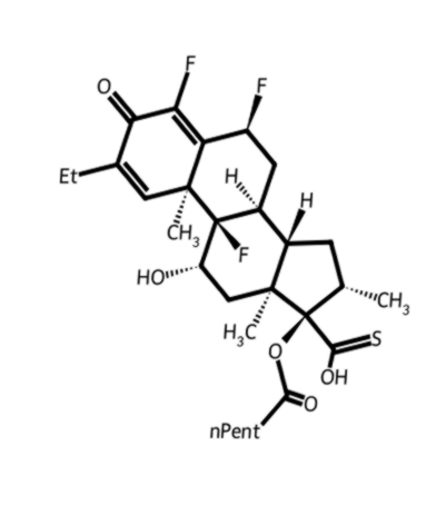 CCCCCC(=O)O[C@]1(C(O)=S)[C@@H](C)C[C@H]2[C@@H]3C[C@H](F)C4=C(F)C(=O)C(CC)=C[C@]4(C)[C@@]3(F)[C@@H](O)C[C@@]21C